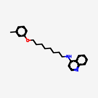 Cc1cccc(OCCCCCCCCNc2ccnc3ccccc23)c1